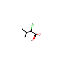 CC(C)C(Cl)C(=O)O